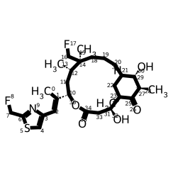 C/C(=C\c1csc(CF)n1)[C@@H]1C[C@H](C)[C@@](C)(CF)CCC[C@@H]2C[C@@](C)(C(=O)[C@H](C)[C@H]2O)[C@@H](O)CC(=O)O1